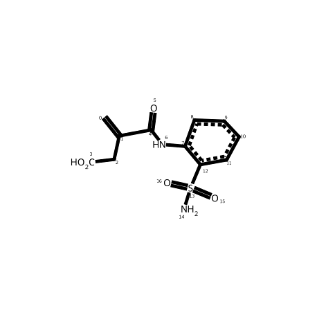 C=C(CC(=O)O)C(=O)Nc1ccccc1S(N)(=O)=O